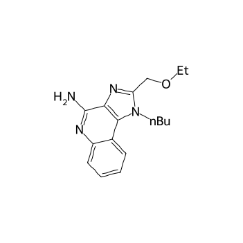 CCCCn1c(COCC)nc2c(N)nc3ccccc3c21